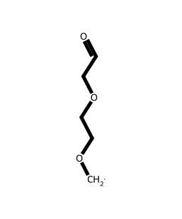 [CH2]OCCOCC=O